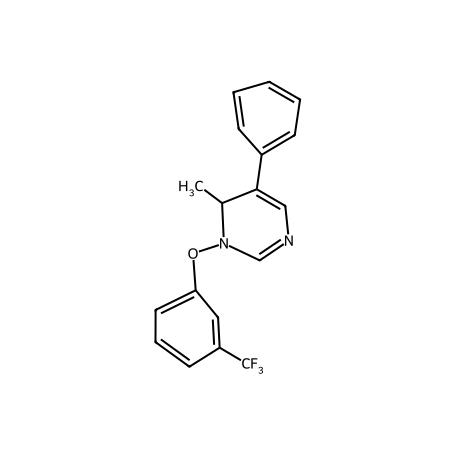 CC1C(c2ccccc2)=CN=CN1Oc1cccc(C(F)(F)F)c1